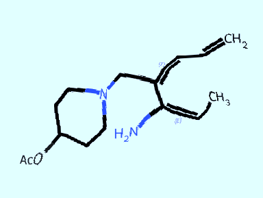 C=C/C=C(CN1CCC(OC(C)=O)CC1)\C(N)=C/C